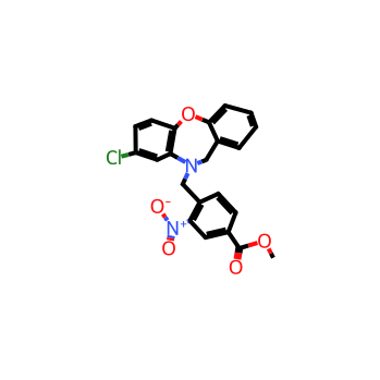 COC(=O)c1ccc(CN2Cc3ccccc3Oc3ccc(Cl)cc32)c([N+](=O)[O-])c1